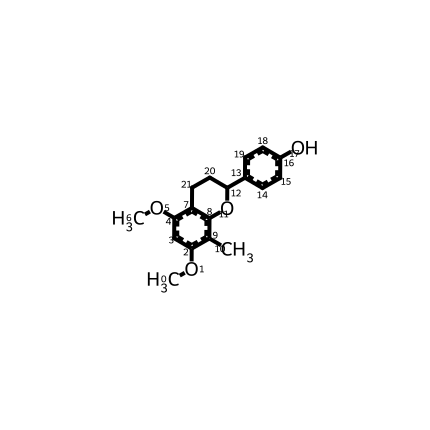 COc1cc(OC)c2c(c1C)OC(c1ccc(O)cc1)CC2